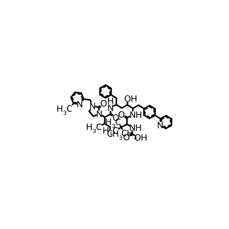 CCC(C)C(C(=O)NC(Cc1ccccc1)CC(O)C(Cc1ccc(-c2ccccn2)cc1)NC(=O)C(NC(=O)O)C(C)(C)C)N1CCN(Cc2cccc(C)n2)C1=O